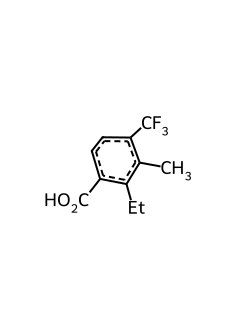 CCc1c(C(=O)O)ccc(C(F)(F)F)c1C